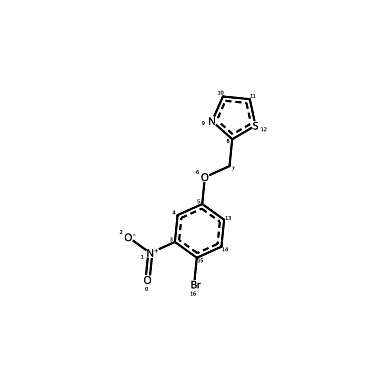 O=[N+]([O-])c1cc(OCc2nccs2)ccc1Br